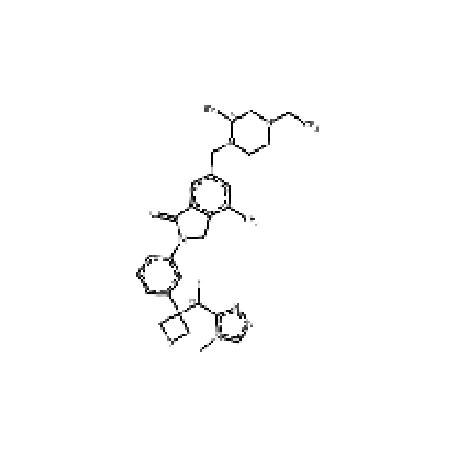 CC(C)[C@H]1CN(CC(F)(F)F)CCN1Cc1cc2c(c(C(F)(F)F)c1)CN(c1cccc(C3([C@@H](F)c4nncn4C)COC3)c1)C2=O